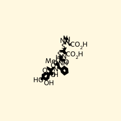 CO[C@@]1(NC(=O)C(NC(=O)c2coc3cc(O)c(O)cc3c2=O)c2ccccc2)C(=O)N2C(C(=O)O)=C(CSc3nnnn3CC(=O)O)CS[C@H]21